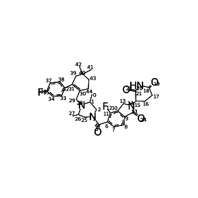 CC1CN(C(=O)c2ccc3c(c2F)CN(C2CCC(=O)NC2=O)C3=O)CC(C)N1CC1=C(c2ccc(F)cc2)CC(C)(C)CC1